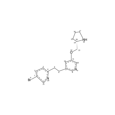 Brc1ccc(CCc2cncc(OC[C@@H]3CCCN3)c2)nc1